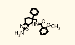 COc1ccccc1C(=O)NCC1(c2ccccc2)CCc2nc(N)sc2C1